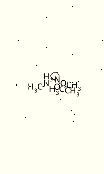 CCNC[C@@H]1CCCCN1C(=O)OC(C)(C)C